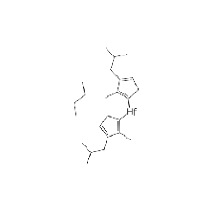 CC1=[C]([Hf][C]2=C(C)C(CC(C)C)=CC2)CC=C1CC(C)C.CCCC